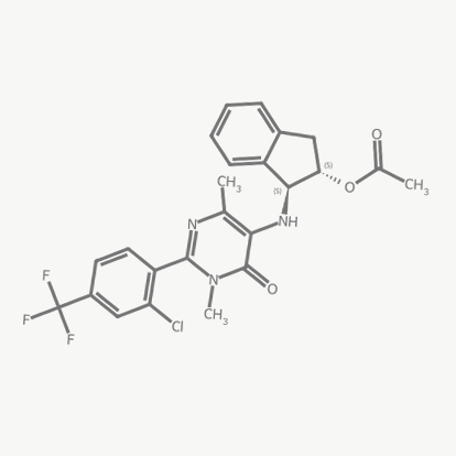 CC(=O)O[C@H]1Cc2ccccc2[C@@H]1Nc1c(C)nc(-c2ccc(C(F)(F)F)cc2Cl)n(C)c1=O